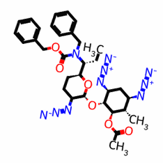 CC[C@H]([C@@H]1CCC(N=[N+]=[N-])[C@@H](O[C@H]2[C@H](OC(C)=O)[C@@H](C)[C@H](N=[N+]=[N-])C[C@@H]2N=[N+]=[N-])O1)N(Cc1ccccc1)C(=O)OCc1ccccc1